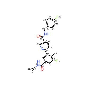 Cc1c(F)cc(C(=O)NC2CC2)cc1-c1ccc(C(=O)NCc2ccc(F)cc2)cn1